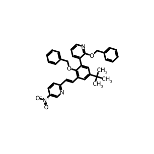 CC(C)(C)c1cc(/C=C/c2ccc([N+](=O)[O-])cn2)c(OCc2ccccc2)c(-c2cccnc2OCc2ccccc2)c1